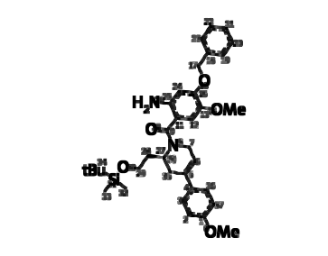 COc1ccc(C2=CCN(C(=O)c3cc(OC)c(OCc4ccccc4)cc3N)[C@H](CCO[Si](C)(C)C(C)(C)C)C2)cc1